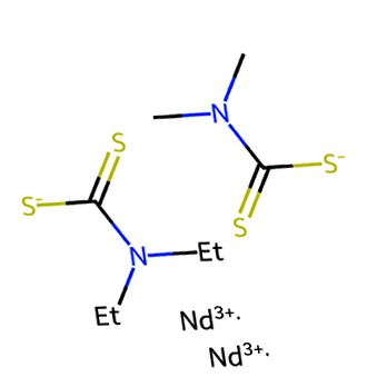 CCN(CC)C(=S)[S-].CN(C)C(=S)[S-].[Nd+3].[Nd+3]